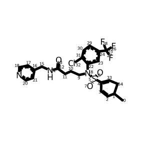 CC1C=CC(S(=O)(=O)N(CCCC(=O)NCc2ccncc2)c2cc(C(F)(F)F)ccc2Cl)=CC1